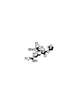 COC(C)(C)C(=O)N[C@@H](CCCNC(=N)N)C(=O)COc1ccon1